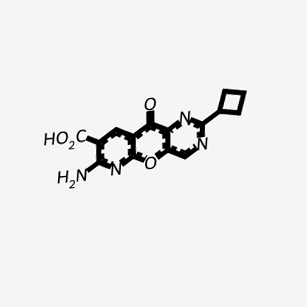 Nc1nc2oc3cnc(C4CCC4)nc3c(=O)c2cc1C(=O)O